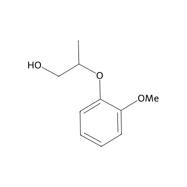 COc1ccccc1OC(C)CO